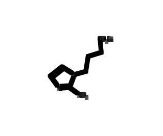 CCOC(=O)CCCn1ccnc1[N+](=O)[O-]